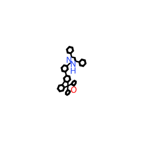 C1=C(c2ccccc2)NC(c2cccc(-c3ccc4c(c3)-c3ccccc3C43c4ccccc4Oc4ccccc43)c2)N=C1c1ccccc1